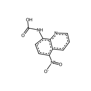 O=C(O)Nc1ccc([N+](=O)[O-])c2cccnc12